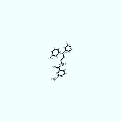 Nc1cc(C(=O)NCCC(c2cccc(Cl)c2)c2cccc(Cl)c2)ccn1